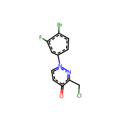 O=c1ccn(-c2ccc(Br)c(F)c2)nc1CCl